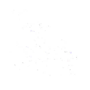 CC[C@H](C)[C@H](NC(=O)[C@H](CCSC)NC(=O)[C@@H](NC(=O)[C@@H](N)CCC(=O)O)[C@@H](C)CC)C(=O)N[C@@H](CCSC)C(=O)N[C@@H](CCC(=O)O)C(=O)NCC(=O)N1CCC[C@H]1C(=O)N[C@@H](C)C(=O)N[C@@H](CS)C(=O)O